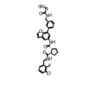 CC(C)(C)OC(=O)NCc1cccc(-c2cc(NC(=O)[C@@H]3CCC[C@H]3C(=O)NCc3cccc(Cl)c3F)cc3ccoc23)c1